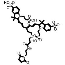 CC1(C)C(=CC=CC(=CC=CC2=[N+](CCS(=O)(=O)O)c3ccc(S(=O)(=O)[O-])cc3C2(C)C)CCOCCC(=O)NCCN2C(=O)C=CC2=O)N(CCS(=O)(=O)O)c2ccc(S(=O)(=O)O)cc21